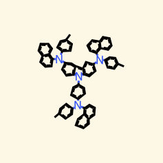 Cc1ccc(N(c2ccc(-n3c4ccc(N(c5ccc(C)cc5)c5cccc6ccccc56)cc4c4cc(N(c5ccc(C)cc5)c5cccc6ccccc56)ccc43)cc2)c2cccc3ccccc23)cc1